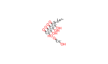 [La+3].[O]=[Co-][OH].[O]=[Co-][OH].[O]=[Co-][OH].[O]=[Co-][OH].[O]=[Co-][OH].[Sr+2]